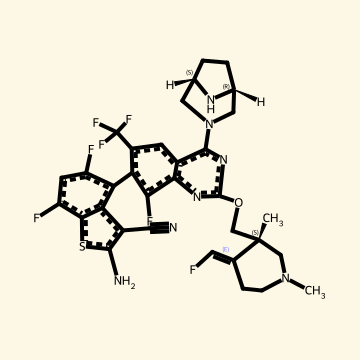 CN1CC/C(=C\F)[C@](C)(COc2nc(N3C[C@H]4CC[C@@H](C3)N4)c3cc(C(F)(F)F)c(-c4c(F)cc(F)c5sc(N)c(C#N)c45)c(F)c3n2)C1